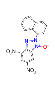 O=[N+]([O-])c1cc([N+](=O)[O-])c2nn(-c3cccc4ccccc34)[n+]([O-])c2c1